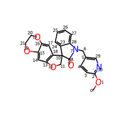 COc1ccc(CN2C(=O)C3(COc4cc5c(cc43)OCCO5)c3ccccc32)cn1